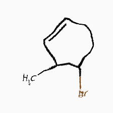 CC1C=CCCC1Br